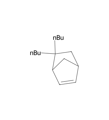 CCCCC1(CCCC)CC2C=CC1C2